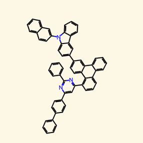 c1ccc(-c2ccc(-c3cc(-c4cccc5c6ccccc6c6cc(-c7ccc8c(c7)c7ccccc7n8-c7ccc8ccccc8c7)ccc6c45)nc(-c4ccccc4)n3)cc2)cc1